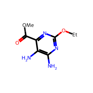 CCOc1nc(N)c(N)c(C(=O)OC)n1